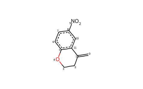 C=C1CCOc2ccc([N+](=O)[O-])cc21